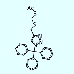 CC(=O)SCSCc1cn(C(c2ccccc2)(c2ccccc2)c2ccccc2)nn1